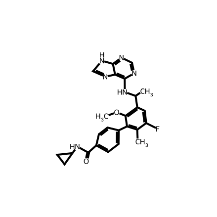 COc1c(C(C)Nc2ncnc3[nH]cnc23)cc(F)c(C)c1-c1ccc(C(=O)NC2CC2)cc1